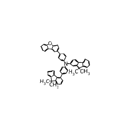 CC1(C)c2ccccc2-c2ccc(N(c3ccc(-c4ccc5oc6ccccc6c5c4)cc3)c3ccc(-c4cccc5c4-c4ccccc4C5(C)C)cc3)cc21